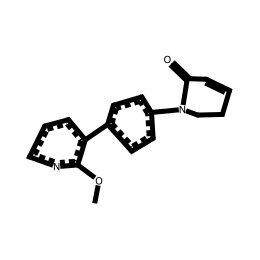 COc1ncccc1-c1ccc(N2CCC=CC2=O)cc1